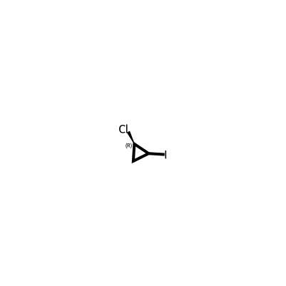 Cl[C@@H]1CC1I